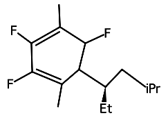 CC[C@H](CC(C)C)C1C(C)=C(F)C(F)=C(C)C1F